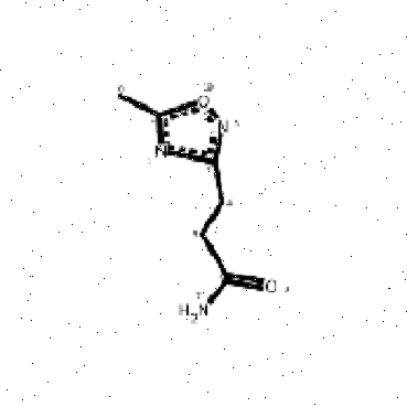 Cc1nc(CCC(N)=O)no1